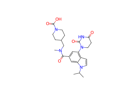 CC(C)n1ccc2c(N3CCC(=O)NC3=O)cc(C(=O)N(C)CC3CCN(C(=O)O)CC3)cc21